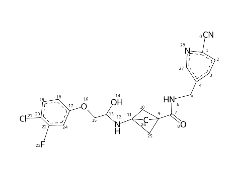 N#Cc1ccc(CNC(=O)C23CC(NC(O)COc4ccc(Cl)c(F)c4)(C2)C3)cn1